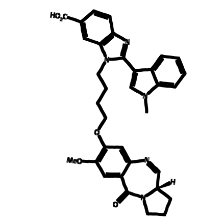 COc1cc2c(cc1OCCCCn1c(-c3cn(C)c4ccccc34)nc3ccc(C(=O)O)cc31)N=C[C@@H]1CCCN1C2=O